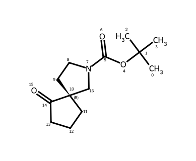 CC(C)(C)OC(=O)N1CC[C@]2(CCCC2=O)C1